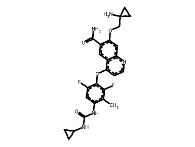 Cc1c(NC(=O)NC2CC2)cc(F)c(Oc2ccnc3cc(OCC4(N)CC4)c(C(N)=O)cc23)c1F